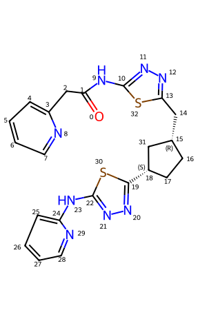 O=C(Cc1ccccn1)Nc1nnc(C[C@@H]2CC[C@H](c3nnc(Nc4ccccn4)s3)C2)s1